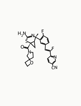 C[C@]1(c2cc(/C=C(\F)c3ccc(C#N)cn3)ccc2F)N=C(N)S[C@@]2(C(=O)N3CCC4(CCO4)C3)CC21